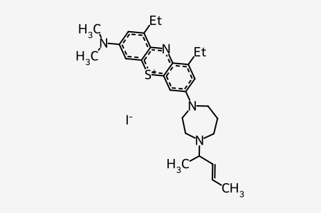 CC=CC(C)N1CCCN(c2cc(CC)c3nc4c(CC)cc(N(C)C)cc4[s+]c3c2)CC1.[I-]